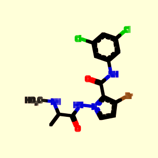 CC(NC(=O)O)C(=O)Nn1ccc(Br)c1C(=O)Nc1cc(Cl)cc(Cl)c1